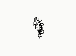 CC1=NN(c2ccc(C)c(C)c2)C(=O)/C1=N/Nc1cccc(C2CCCC(NC3CC3)C2)c1O